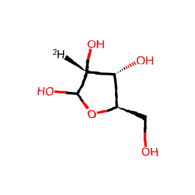 [2H][C@]1(O)C(O)O[C@H](CO)[C@H]1O